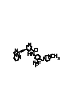 CN1CCN(Cc2ccc(NC(=O)c3cncc(C#Cc4ncc5cccnn45)c3)cc2C(F)(F)F)CC1